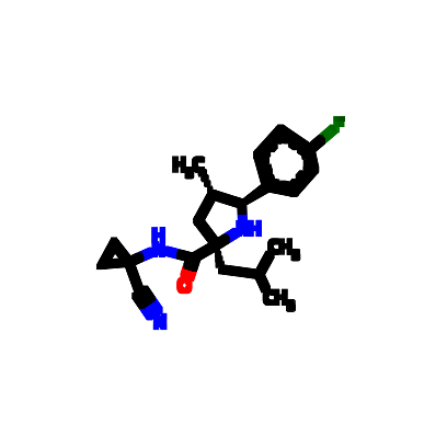 CC(C)C[C@]1(C(=O)NC2(C#N)CC2)C[C@H](C)[C@@H](c2ccc(F)cc2)N1